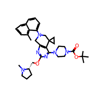 Cc1cccc2cccc(N3Cc4nc(OC[C@@H]5CCCN5C)nc(N5CCN(C(=O)OC(C)(C)C)CC5)c4C4(CC4)C3)c12